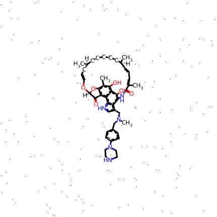 C/C1=C/C=C/[C@H](C)CCCCC[C@H](C)C/C=C/O[C@H]2Oc3c(C)c(O)c4c(O)c(c5c(CN(C)Cc6ccc(N7CCNCC7)cc6)c[nH]c5c4c3C2=O)NC1=O